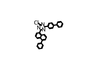 Clc1nc(-c2ccc(-c3ccccc3)cc2)nc(-c2cccc3c(-c4ccccc4)cccc23)n1